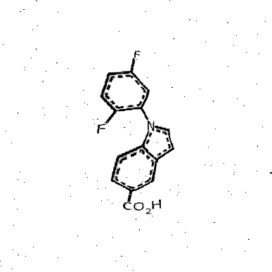 O=C(O)c1ccc2c(ccn2-c2cc(F)ccc2F)c1